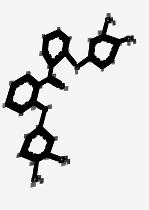 Cc1ccc(Oc2ccccc2C(=O)c2ccccc2Oc2ccc(C)c(C)c2)cc1C